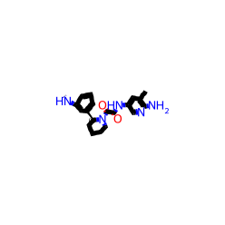 CNc1cccc([C@@H]2CCCCN2C(=O)C(=O)Nc2cnc(N)c(C)c2)c1